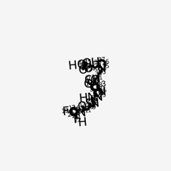 COc1cc2c(Nc3ncc(CC(=O)Nc4ccc(F)cc4F)s3)ncnc2cc1OCCCN1CCCCC1CCOP(=O)(O)O